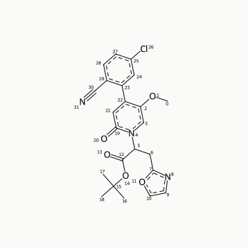 COc1cn(C(Cc2ncco2)C(=O)OC(C)(C)C)c(=O)cc1-c1cc(Cl)ccc1C#N